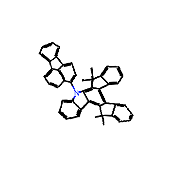 CC1(C)c2ccccc2-c2c3c(c4c(c21)c1ccccc1n4-c1ccc2c4c(cccc14)-c1ccccc1-2)C(C)(C)c1ccccc1-3